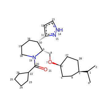 CC(C)[C@H]1CC[C@@H](OC[C@H]2[C@@H](c3cc[nH]n3)CCCN2C(=O)C2CCCC2)CC1